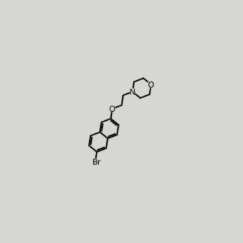 Brc1ccc2cc(OCCN3CCOCC3)ccc2c1